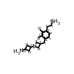 BCCc1ccc(CC2CN(C3CC(N)C3)C2)c(C)c1C